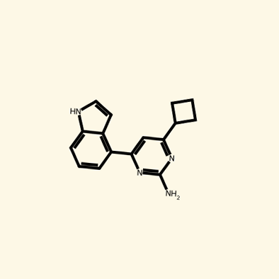 Nc1nc(-c2cccc3[nH]ccc23)cc(C2CCC2)n1